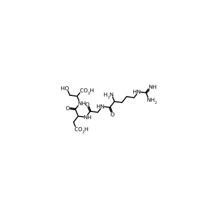 N=C(N)NCCCC(N)C(=O)NCC(=O)NC(CC(=O)O)C(=O)NC(CO)C(=O)O